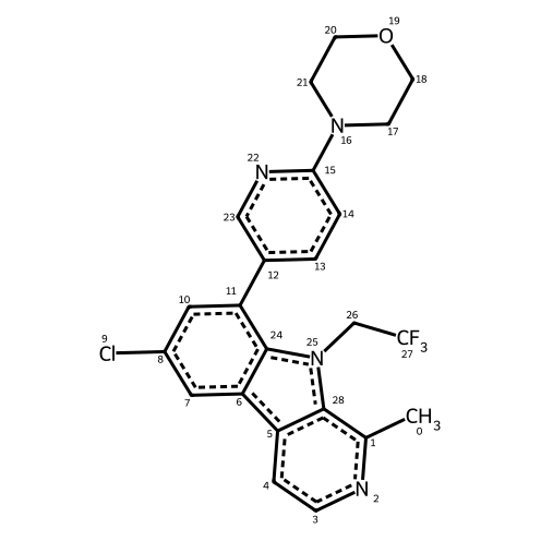 Cc1nccc2c3cc(Cl)cc(-c4ccc(N5CCOCC5)nc4)c3n(CC(F)(F)F)c12